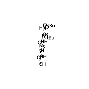 C#CCCC(=O)NCCc1nc(-c2nc(C(=O)NCCCN(CCCCNC(=O)OC(C)(C)C)C(=O)OC(C)(C)C)cs2)cs1